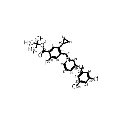 CC(C)(C)OC(=O)c1cc(C2CC2)c(CN2C=CC=C(Oc3cc(Cl)cc(Cl)c3)C2)cc1F